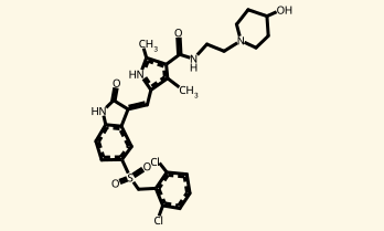 Cc1[nH]c(/C=C2\C(=O)Nc3ccc(S(=O)(=O)Cc4c(Cl)cccc4Cl)cc32)c(C)c1C(=O)NCCN1CCC(O)CC1